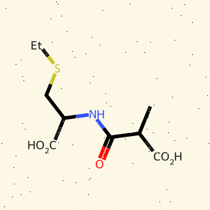 CCSCC(NC(=O)C(C)C(=O)O)C(=O)O